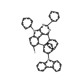 Ic1ccc2c(c1-c1cccc(-n3c4ccccc4c4ccccc43)c1)c1c(-c3ccccc3)nc(-c3ccccc3)nc1n2-c1ccccc1